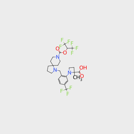 CC1(C(=O)O)CCN1c1cc(C(F)(F)F)ccc1CN1CCCC12CCN(C(=O)OC(C(F)(F)F)C(F)(F)F)CC2